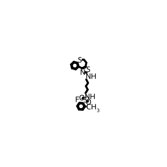 Cc1cccc(F)c1S(=O)(=O)NCCCCCNc1nc2c(s1)CCSc1ccccc1-2